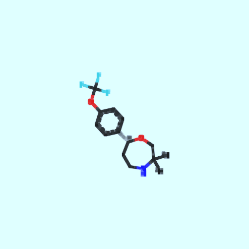 [2H]C1([2H])CO[C@@H](c2ccc(OC(F)(F)F)cc2)CCN1